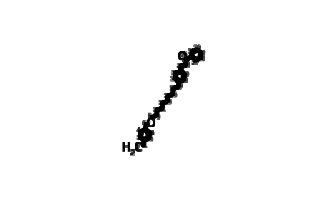 C=Cc1ccc(COCCCCCCCCCCc2ccc(/C=C/C(=O)c3ccccc3)cc2)cc1